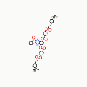 CCCc1ccc(CCC(=O)O[C@H]2CC[C@H](C(=O)Oc3ccc(OC(=O)[C@H]4CC[C@H](OC(=O)CCc5ccc(CCC)cc5)CC4)c4nc5c(nc34)C(=O)c3ccccc3-5)CC2)cc1